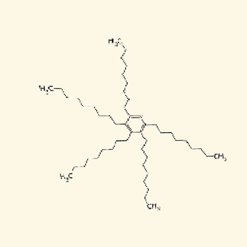 CCCCCCCCCc1[c]c(CCCCCCCCC)c(CCCCCCCCC)c(CCCCCCCCC)c1CCCCCCCCC